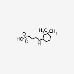 CC1(C)CCCC(NCCCS(=O)(=O)O)C1